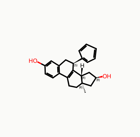 C[C@]12CCC3=C([C@H](c4ccccc4)Cc4cc(O)ccc43)[C@@H]1C[C@@H](O)C2